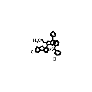 CCCC1=Cc2c(-c3ccccc3)cccc2C1c1[c]([Zr+2][SiH](c2ccccc2)c2ccccc2)ccc2c1Cc1ccccc1-2.[Cl-].[Cl-]